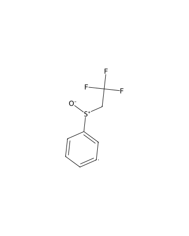 [O-][S+](CC(F)(F)F)c1c[c]ccc1